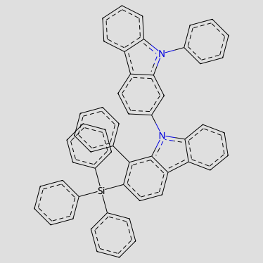 c1ccc(-c2c([Si](c3ccccc3)(c3ccccc3)c3ccccc3)ccc3c4ccccc4n(-c4ccc5c6ccccc6n(-c6ccccc6)c5c4)c23)cc1